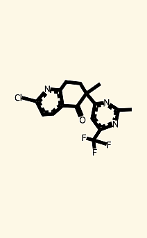 Cc1nc(C(F)(F)F)cc(C2(C)CCc3nc(Cl)ccc3C2=O)n1